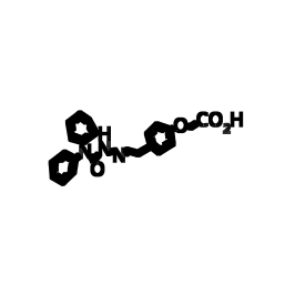 O=C(O)COc1ccc(CC=NNC(=O)N(c2ccccc2)c2ccccc2)cc1